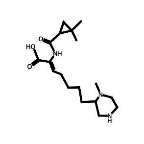 CN1CCNCC1CCCCC=C(NC(=O)C1CC1(C)C)C(=O)O